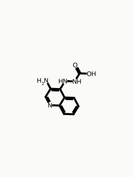 Nc1cnc2ccccc2c1NNC(=O)O